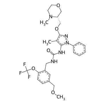 COCc1ccc(OC(F)(F)F)c(CNC(=O)Nc2c(C)c(OC[C@H]3COCCN3C)nn2-c2ccccc2)c1